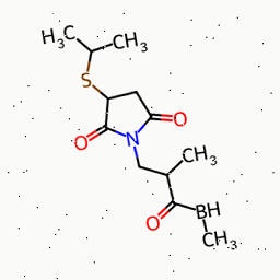 CBC(=O)C(C)CN1C(=O)CC(SC(C)C)C1=O